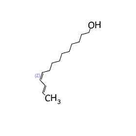 CC=C/C=C\CCCCCCCCCO